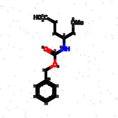 COCC(CCC(=O)O)NC(=O)OCc1ccccc1